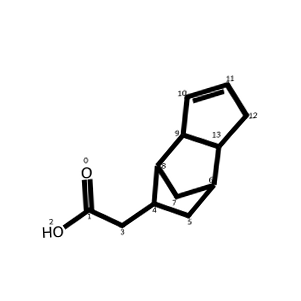 O=C(O)CC1CC2CC1C1C=CCC21